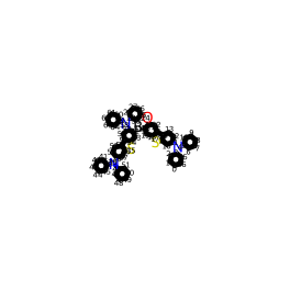 c1ccc(N(c2ccccc2)c2ccc3c(c2)sc2cc4c(cc23)Oc2cccc3c2B4c2cc4sc5cc(N(c6ccccc6)c6ccccc6)ccc5c4cc2N3c2ccccc2)cc1